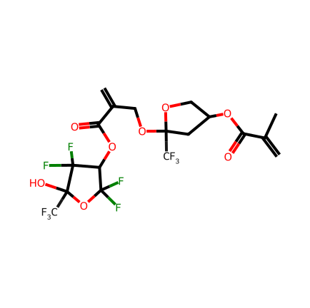 C=C(C)C(=O)OC1COC(OCC(=C)C(=O)OC2C(F)(F)OC(O)(C(F)(F)F)C2(F)F)(C(F)(F)F)C1